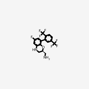 NC[C@H]1CNc2cc(F)cc(-c3cc(C(F)(F)F)ccc3C(F)(F)F)c2O1